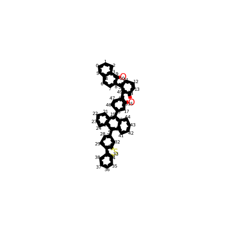 c1ccc2c(c1)ccc1c2oc2ccc3oc4cc(-c5c6ccccc6c(-c6ccc7c(c6)sc6ccccc67)c6ccccc56)ccc4c3c21